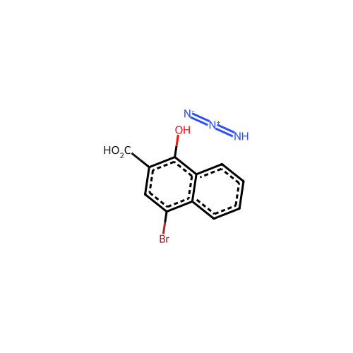 O=C(O)c1cc(Br)c2ccccc2c1O.[N-]=[N+]=N